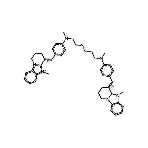 CN(CCSSCCN(C)c1ccc(/C=C2\CCCN3c4ccccc4N(C)C23)cc1)c1ccc(/C=C2\CCCn3c2[n+](C)c2ccccc23)cc1